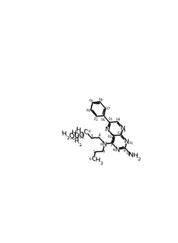 CCCN(CCC)c1nc(N)nc2ncc(-c3ccccc3)nc12.O.O.O